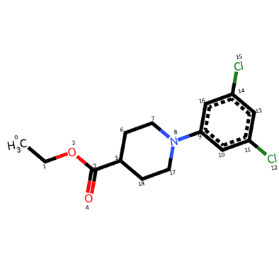 CCOC(=O)C1CCN(c2cc(Cl)cc(Cl)c2)CC1